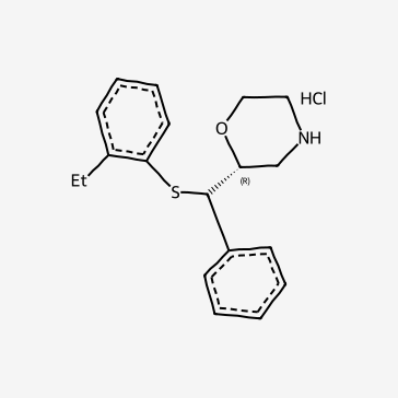 CCc1ccccc1SC(c1ccccc1)[C@H]1CNCCO1.Cl